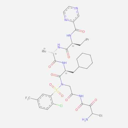 CCC(N)C(=O)C(=O)NC(=O)CN(C(=O)[C@H](CC1CCCCC1)NC(=O)[C@@H](NC(=O)[C@H](CC(C)C)NC(=O)c1cnccn1)[C@@H](C)CC)S(=O)(=O)c1cc(C(F)(F)F)ccc1Cl